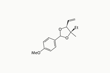 C=C[C@@H]1OC(c2ccc(OC)cc2)O[C@]1(C)CC